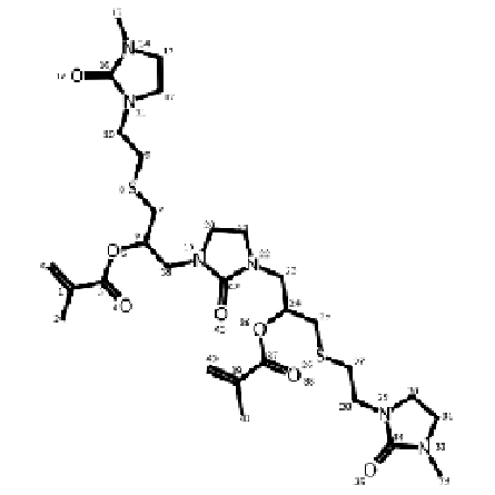 C=C(C)C(=O)OC(CSCCN1CCN(C)C1=O)CN1CCN(CC(CSCCN2CCN(C)C2=O)OC(=O)C(=C)C)C1=O